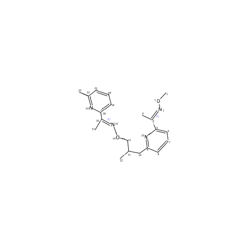 CO/N=C(\C)c1cccc(CC(C)CO/N=C(\C)c2cccc(C)n2)n1